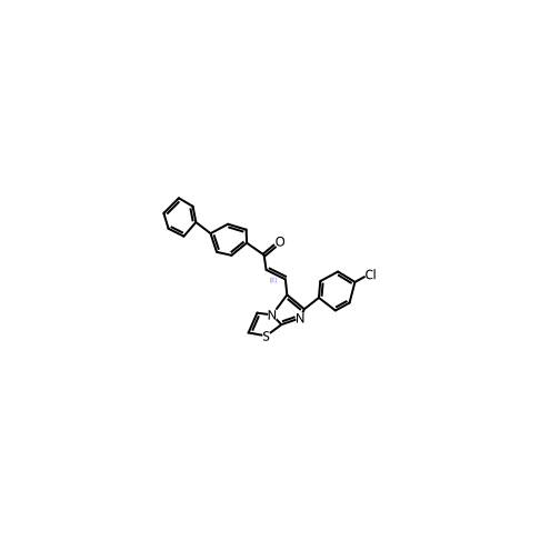 O=C(/C=C/c1c(-c2ccc(Cl)cc2)nc2sccn12)c1ccc(-c2ccccc2)cc1